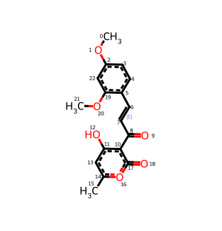 COc1ccc(/C=C/C(=O)c2c(O)cc(C)oc2=O)c(OC)c1